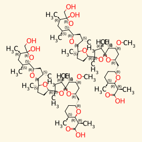 CO[C@@H]1C[C@@H](C[C@H]2CC[C@H](C)[C@H]([C@@H](C)C(=O)O)O2)O[C@]2(O[C@](C)([C@H]3CC[C@@](C)([C@@H]4O[C@@H]([C@H]5O[C@@](O)(CO)[C@H](C)C[C@@H]5C)C[C@@H]4C)O3)C[C@H]2C)[C@@H]1C.CO[C@@H]1C[C@@H](C[C@H]2CC[C@H](C)[C@H]([C@@H](C)C(=O)O)O2)O[C@]2(O[C@](C)([C@H]3CC[C@@](C)([C@@H]4O[C@@H]([C@H]5O[C@@](O)(CO)[C@H](C)C[C@@H]5C)C[C@@H]4C)O3)C[C@H]2C)[C@@H]1C